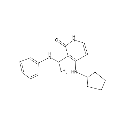 NC(Nc1ccccc1)c1c(NC2CCCC2)cc[nH]c1=O